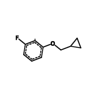 Fc1[c]c(OCC2CC2)ccc1